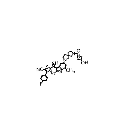 CCc1nn2c(C)cc(N3CCC4(CCN(C(=O)N5CC(O)C5)C4)C3)cc2c1N(C)c1nc(-c2ccc(F)cc2)c(C#N)s1